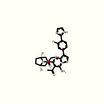 CC(=O)c1c(C2C[C@H]3CC[C@@H](C2)N3C(=O)CO)nc2c(-c3ccc(-c4ncc[nH]4)c(F)c3)cnn2c1N